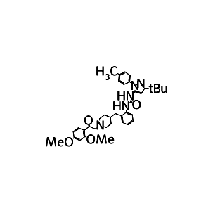 COc1ccc(C(=O)CN2CCC(Cc3ccccc3NC(=O)Nc3cc(C(C)(C)C)nn3-c3ccc(C)cc3)CC2)c(OC)c1